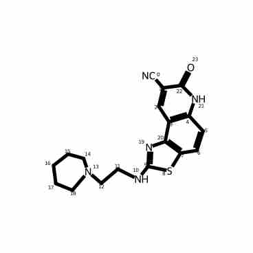 N#Cc1cc2c(ccc3sc(NCCN4CCCCC4)nc32)[nH]c1=O